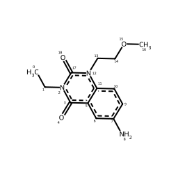 CCn1c(=O)c2cc(N)ccc2n(CCOC)c1=O